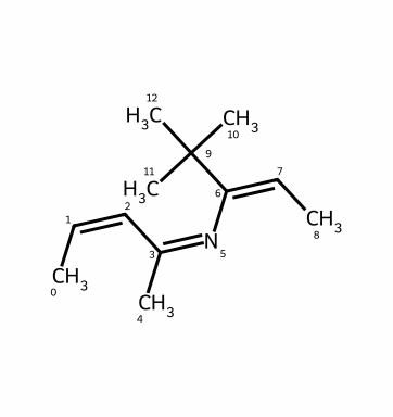 C\C=C/C(C)=N\C(=C/C)C(C)(C)C